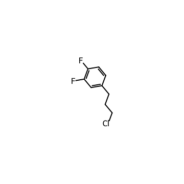 Fc1ccc(CCCCl)cc1F